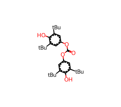 CC(C)(C)c1cc(OC(=O)Oc2cc(C(C)(C)C)c(O)c(C(C)(C)C)c2)cc(C(C)(C)C)c1O